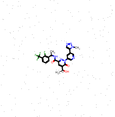 C[C@H](O)c1cc(C(=O)N[C@H](C)c2cccc(C(F)(F)F)c2F)nn(-c2cncc(-c3cnnn3C)c2)c1=O